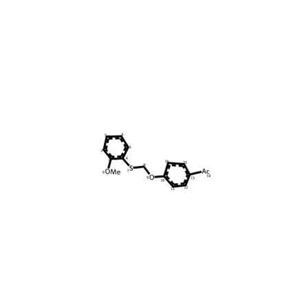 COc1ccccc1SCOc1ccc(C(C)=O)cc1